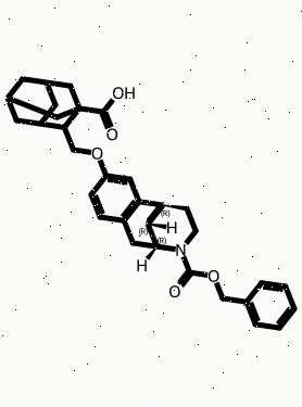 O=C(OCc1ccccc1)N1CC[C@]23CCCC[C@H]2[C@H]1Cc1ccc(OCC2C4CC5CC(C4)CC2(C(=O)O)C5)cc13